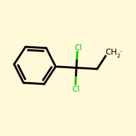 [CH2]CC(Cl)(Cl)c1ccccc1